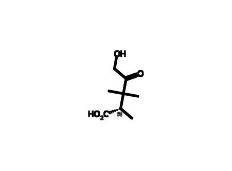 C[C@H](C(=O)O)C(C)(C)C(=O)CO